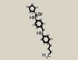 CCCCc1ccc(NCc2ccc(N[S+]([O-])C3CCCC3)cc2)cc1